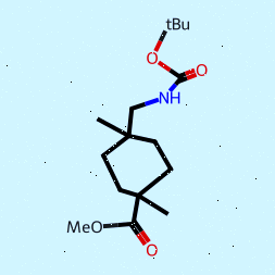 COC(=O)C1(C)CCC(C)(CNC(=O)OC(C)(C)C)CC1